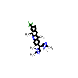 CCc1nc2ccc(C(c3cnc(C)n3C)c3cnc(C)n3C)cc2c(C)c1Cc1ccc(C(F)(F)F)cc1